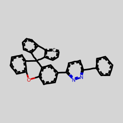 c1ccc(-c2ccc(-c3ccc4c(c3)C3(c5ccccc5O4)c4ccccc4-c4ccccc43)nn2)cc1